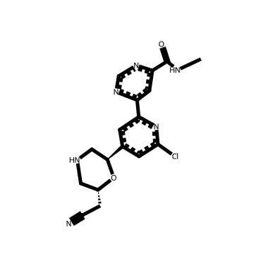 CNC(=O)c1cc(-c2cc([C@@H]3CNC[C@@H](CC#N)O3)cc(Cl)n2)ncn1